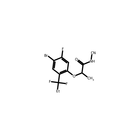 CCC(F)(F)c1cc(Br)c(F)cc1OC(C)C(=O)NC#N